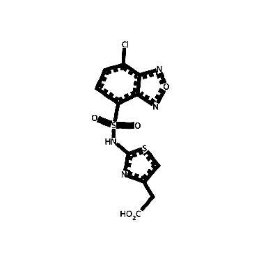 O=C(O)Cc1csc(NS(=O)(=O)c2ccc(Cl)c3nonc23)n1